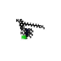 CCCCCCCCCCCCc1cc(C)ccc1CC.CN(C)C.CN(C)C.Cl.Cl